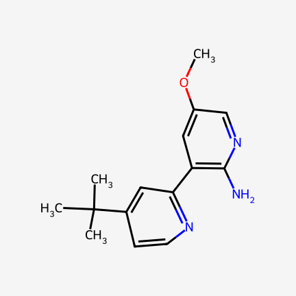 COc1cnc(N)c(-c2cc(C(C)(C)C)ccn2)c1